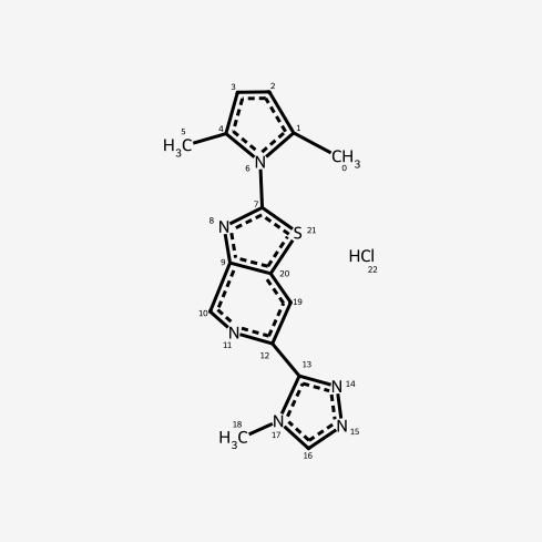 Cc1ccc(C)n1-c1nc2cnc(-c3nncn3C)cc2s1.Cl